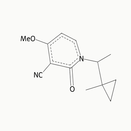 COc1ccn(C(C)C2(C)CC2)c(=O)c1C#N